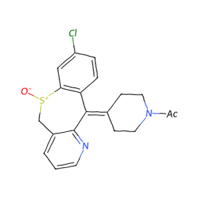 CC(=O)N1CCC(=C2c3ccc(Cl)cc3[S+]([O-])Cc3cccnc32)CC1